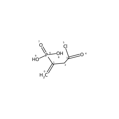 C=C(CC(=O)Cl)P(=O)(O)O